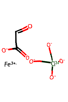 O=CC(=O)[O-].[Fe+3].[O-][Cl+3]([O-])([O-])[O-]